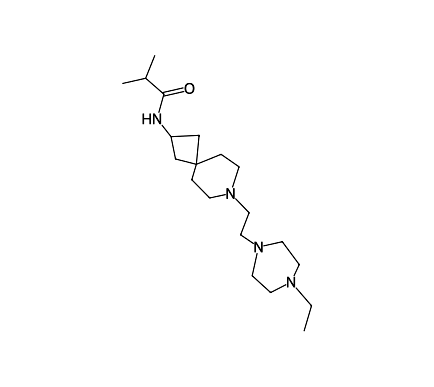 CCN1CCN(CCN2CCC3(CC2)CC(NC(=O)C(C)C)C3)CC1